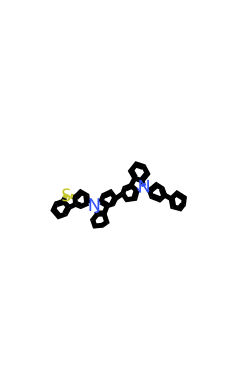 C1=c2c(n(-c3ccc(-c4ccccc4)cc3)c3ccccc23)=CCC1c1ccc2c(c1)c1c(n2-c2ccc3sc4ccccc4c3c2)CCCC1